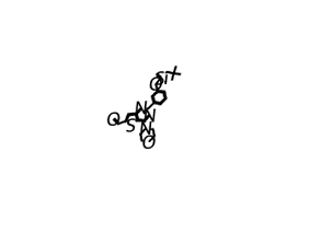 CC(C)(C)C[Si](C)(C)Oc1cccc(-c2nc(N3CCOCC3)c3sc(C=O)cc3n2)c1